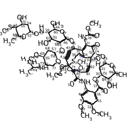 C=C(OC)C(=O)Nc1cc(OC)c(OC)cc1C(=O)O[C@H]1C[C@H](O[C@@H]2C(=O)C(NC(=O)OC)=C3/C4=C\CSC(SSC)(C#C[C@@H]3O[C@@H]3O[C@H](C)[C@@H](NO[C@H]5C[C@H](O)[C@H](SC)[C@@H](C)O5)[C@H](O)[C@H]3O[C@H]3C[C@H](OC)[C@@H](NC(C)C)CO3)/C=C\C#C[C@@]42O)O[C@@H](C)[C@@H]1O